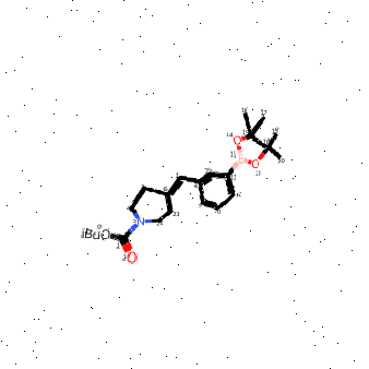 CC(C)COC(=O)N1CCC(=Cc2cccc(B3OC(C)(C)C(C)(C)O3)c2)CC1